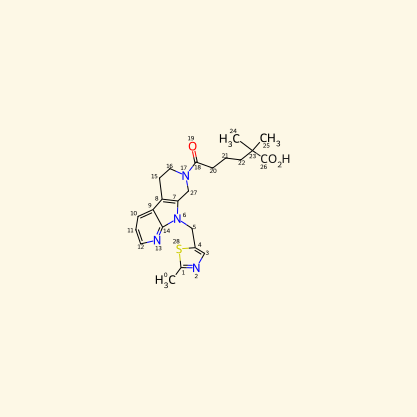 Cc1ncc(Cn2c3c(c4cccnc42)CCN(C(=O)CCCC(C)(C)C(=O)O)C3)s1